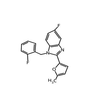 Cc1ccc(-c2nc3cc(F)ccc3n2Cc2ccccc2F)o1